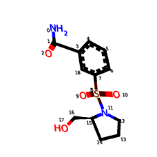 NC(=O)c1cccc(S(=O)(=O)N2CCC[C@H]2CO)c1